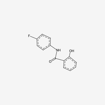 O=C(Nc1ccc(F)cc1)c1ccccc1O